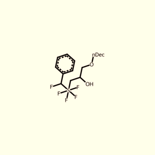 CCCCCCCCCCOCC(O)CS(F)(F)(F)(F)C(F)c1ccccc1